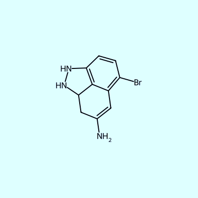 NC1=Cc2c(Br)ccc3c2C(C1)NN3